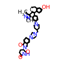 Cc1nn(C)cc1C1=C(c2ccc(N3CCC(CN4CCN(c5ccc6c(c5)CN(C5CCC(=O)NC5=O)C6=O)CC4)CC3)cc2)c2ccc(O)cc2CCC1